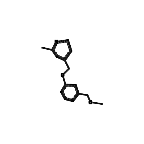 COCc1cccc(OCc2ccnc(C)c2)c1